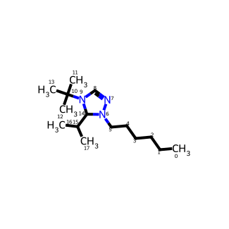 CCCCCCN1N=CN(C(C)(C)C)C1C(C)C